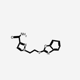 NC(=O)c1[c]cn(CCSc2nc3ccccc3o2)n1